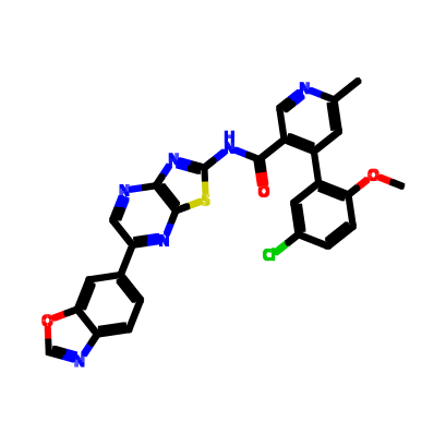 COc1ccc(Cl)cc1-c1cc(C)ncc1C(=O)Nc1nc2ncc(-c3ccc4ncoc4c3)nc2s1